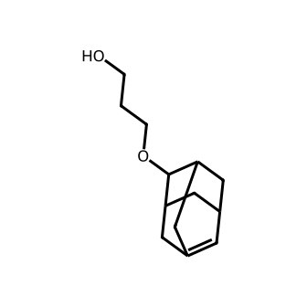 OCCCOC1C2CC3=CC(C2)CC1C3